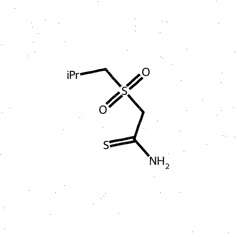 CC(C)CS(=O)(=O)CC(N)=S